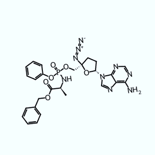 C[C@H](NP(=O)(OC[C@]1(N=[N+]=[N-])CC[C@H](n2cnc3c(N)ncnc32)O1)Oc1ccccc1)C(=O)OCc1ccccc1